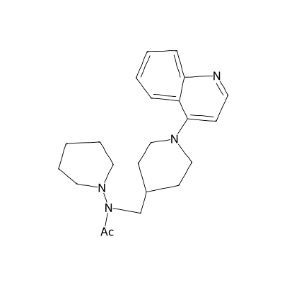 CC(=O)N(CC1CCN(c2ccnc3ccccc23)CC1)N1CCCCC1